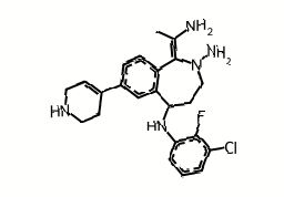 C/C(N)=C1\c2ccc(C3=CCNCC3)cc2C(Nc2cccc(Cl)c2F)CCN1N